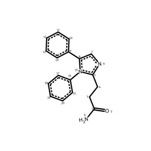 NC(=O)CCc1ncc(-c2ccccc2)n1-c1ccccc1